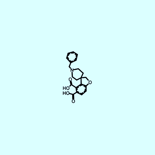 O=C(O)c1ccc2c(c1C(=O)O)C1(CCN(Cc3ccccc3)CC1)CO2